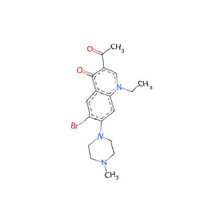 CCn1cc(C(C)=O)c(=O)c2cc(Br)c(N3CCN(C)CC3)cc21